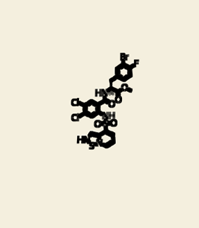 COC(=O)[C@H](Cc1ccc(F)c(Br)c1)NC(=O)c1cc(Cl)c(Cl)cc1NS(=O)(=O)C1=CC=CN2SNC=C12